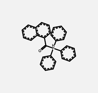 O=C(c1cccc2ccccc12)[PH](c1ccccc1)(c1ccccc1)c1ccccc1